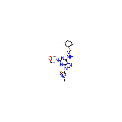 Cc1cccc(C=NNc2nc(N3CCOCC3)nc3c2ncn3-c2cc(C)ns2)c1